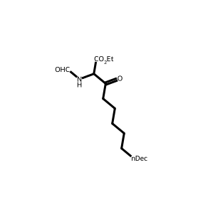 CCCCCCCCCCCCCCCC(=O)C(NC=O)C(=O)OCC